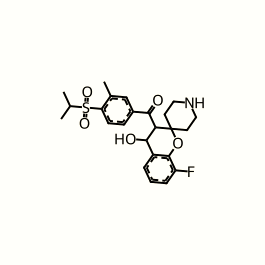 Cc1cc(C(=O)C2C(O)c3cccc(F)c3OC23CCNCC3)ccc1S(=O)(=O)C(C)C